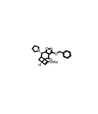 COC1=C[C@H]2CC3[C@H](N4CCCC4)c4onc(OCc5ccccc5)c4C(=O)C132